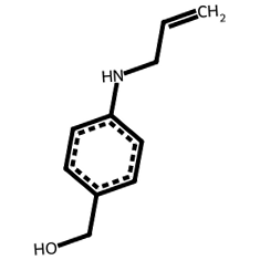 C=CCNc1ccc(CO)cc1